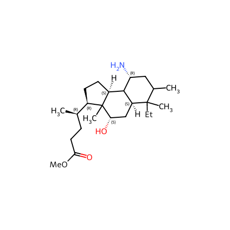 CCC1(C)C(C)C[C@@H](N)C2[C@@H]1C[C@H](O)C1(C)[C@@H]([C@H](C)CCC(=O)OC)CC[C@@H]21